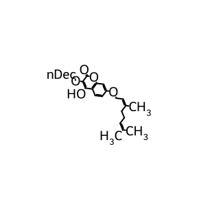 CCCCCCCCCCOc1c(O)c2ccc(OCC=C(C)CCC=C(C)C)cc2oc1=O